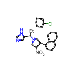 CCC(c1cnc[nH]1)n1cc(-c2cccc3ccccc23)c([N+](=O)[O-])c1.Clc1ccccc1